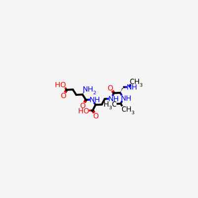 CNC[C@H](NC(C)C)C(=O)NCCC(NC(=O)[C@@H](N)CCC(=O)O)C(=O)O